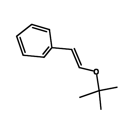 CC(C)(C)O/C=C/c1ccccc1